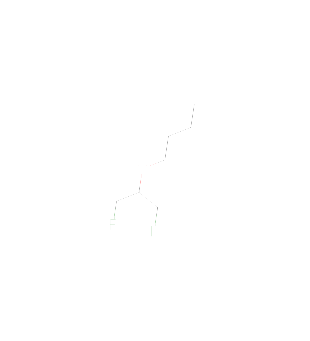 [CH2]CCCOC(CF)CF